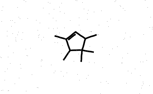 [CH2]C1C=C(C)C(C)C1(C)C